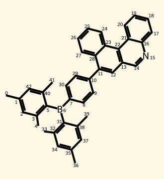 Cc1cc(C)c(B(c2ccc(-c3cc4cnc5ccccc5c4c4ccccc34)cc2)c2c(C)cc(C)cc2C)c(C)c1